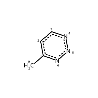 Cc1[c]cnnn1